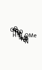 COc1ccc2nccc(N3CCN(C[C@H]4CN(c5ccc6c(n5)NC(=O)CO6)C(=O)O4)CC3)c2n1